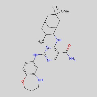 COC1(C)CC2CC(C)C(Nc3nc(Nc4ccc5c(c4)NCCCO5)ncc3C(N)=O)C(C2)C1